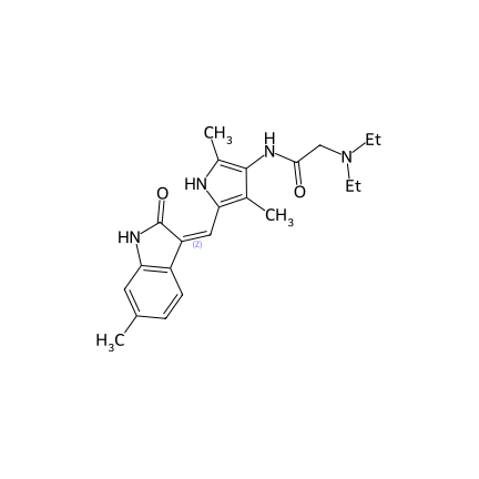 CCN(CC)CC(=O)Nc1c(C)[nH]c(/C=C2\C(=O)Nc3cc(C)ccc32)c1C